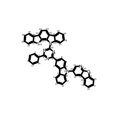 c1ccc(-c2nc(-c3ccc4c(c3)c3ccccc3n4-c3cnc4oc5ccccc5c4c3)nc(-n3c4ccccc4c4ccc5c6ccccc6sc5c43)n2)cc1